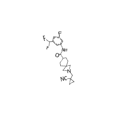 N#CC1(CN2CC3(CCC(C(=O)Nc4cc(F)cc(C(F)F)c4)CC3)C2)CC1